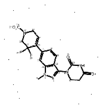 Cn1nc(N2CCC(=O)NC2=O)c2ccc(C3=CCN(C(=O)O)CC3(F)F)cc21